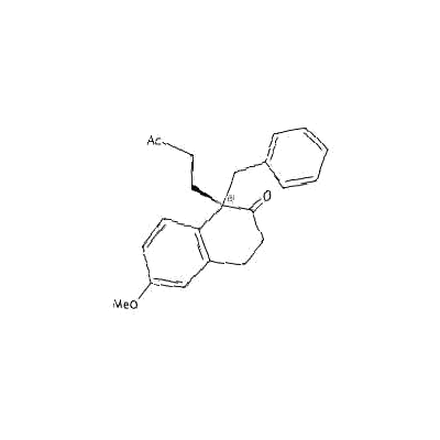 COc1ccc2c(c1)CCC(=O)[C@@]2(CCC(C)=O)Cc1ccccc1